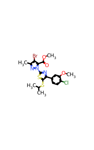 COC(=O)c1c(Br)c(C)nn1-c1nc(-c2ccc(Cl)c(OC)c2)c(SC(C)C)s1